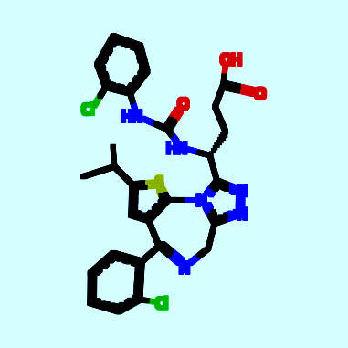 CC(C)c1cc2c(s1)-n1c(nnc1[C@@H](CCC(=O)O)NC(=O)Nc1ccccc1Cl)CN=C2c1ccccc1Cl